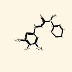 Cc1cc(OCC(=O)N(C)C2CCCCC2)cc(C)c1Cl